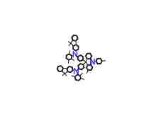 Cc1ccc(N2c3ccccc3C(c3ccc(N(c4ccc5c(c4)C(C)(C)c4ccccc4-5)c4c(C)ccc(C)c4C)cc3)(c3ccc(N(c4ccc5c(c4)C(C)(C)c4ccccc4-5)c4c(C)ccc(C)c4C)cc3)c3cc(C)ccc32)cc1